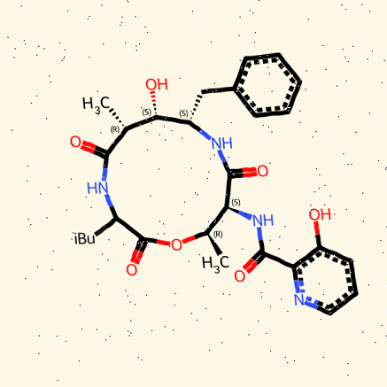 CCC(C)C1NC(=O)[C@H](C)[C@H](O)[C@H](Cc2ccccc2)NC(=O)[C@@H](NC(=O)c2ncccc2O)[C@@H](C)OC1=O